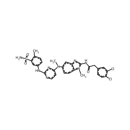 Cc1ccc(Nc2nccc(N(C)c3ccc4c(c3)nc(NC(=O)Cc3ccc(Cl)c(Cl)c3)n4C)n2)cc1S(N)(=O)=O